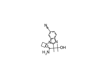 CC(C)(O)C(C)(C(N)=O)c1nc2ccc(C#N)cc2n1C1CCC1